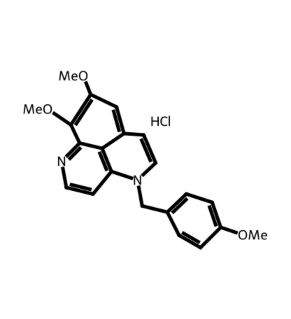 COc1ccc(CN2C=Cc3cc(OC)c(OC)c4nccc2c34)cc1.Cl